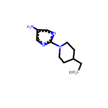 CCOC(=O)CC1CCN(c2ncc(N)cn2)CC1